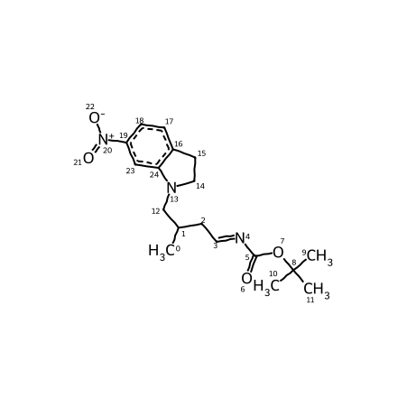 CC(CC=NC(=O)OC(C)(C)C)CN1CCc2ccc([N+](=O)[O-])cc21